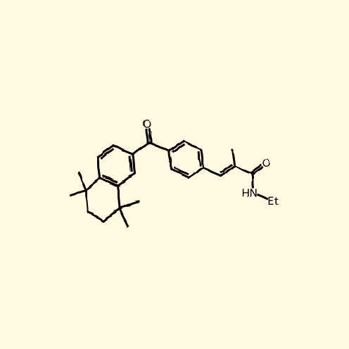 CCNC(=O)/C(C)=C/c1ccc(C(=O)c2ccc3c(c2)C(C)(C)CCC3(C)C)cc1